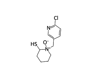 [O-][N+]1(Cc2ccc(Cl)nc2)CCCCC1S